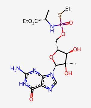 CCOC(=O)[C@H](C)NP(=O)(OC[C@H]1O[C@@H](n2cnc3c(=O)[nH]c(N)nc32)[C@](C)(O)[C@@H]1O)SCC